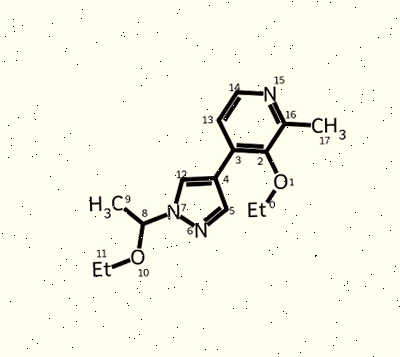 CCOc1c(-c2cnn(C(C)OCC)c2)ccnc1C